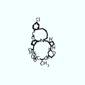 C[C@H]1CS(=O)(=O)NC(=O)c2ccc3c(c2)N(CCCCc2cc(Cl)ccc2CO3)C[C@@H]2CC[C@H]2[C@@H]2C[C@@H](CCO2)O1